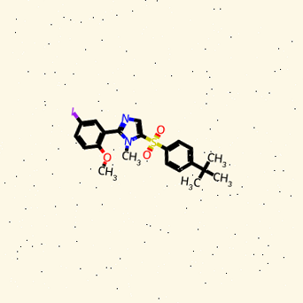 COc1ccc(I)cc1-c1ncc(S(=O)(=O)c2ccc(C(C)(C)C)cc2)n1C